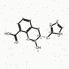 O=C(O)c1cccc2c1OB(O)[C@@H](Sc1nnc[nH]1)C2